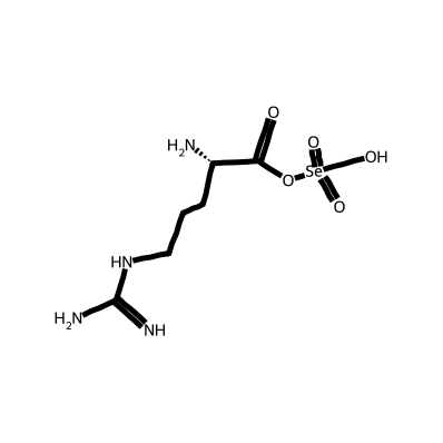 N=C(N)NCCC[C@H](N)C(=O)O[Se](=O)(=O)O